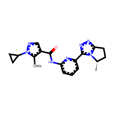 COc1c(C(=O)Nc2cccc(-c3nnc4n3[C@@H](C)CC4)n2)cnn1C1CC1